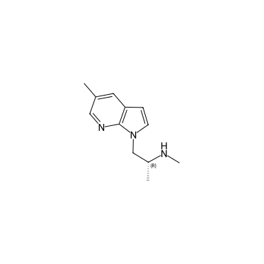 CN[C@H](C)Cn1ccc2cc(C)cnc21